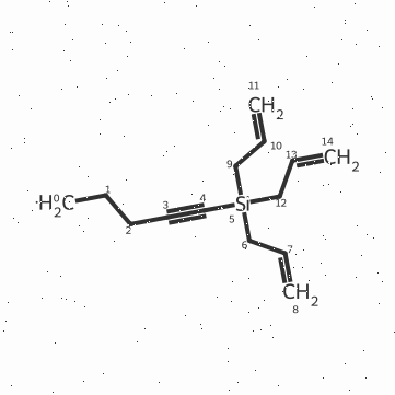 [CH2]CCC#C[Si](CC=C)(CC=C)CC=C